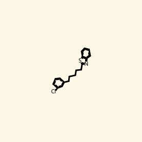 Clc1cccc(CCCCCc2nc3ccccc3s2)c1